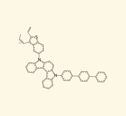 C=Cc1sc2ccc(-n3c4ccccc4c4c5c6ccccc6n(-c6ccc(-c7ccc(-c8ccccc8)cc7)cc6)c5ccc43)cc2c1/C=C\C